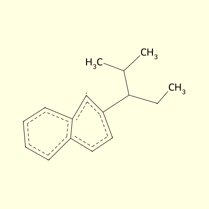 CCC(c1[c]c2ccccc2cc1)C(C)C